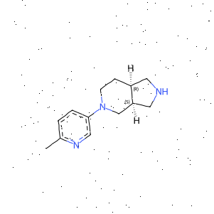 Cc1ccc(N2CC[C@H]3CNC[C@H]3C2)cn1